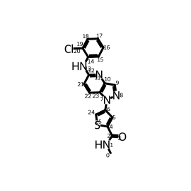 CNC(=O)c1cc(-n2ncc3nc(Nc4ccccc4Cl)ccc32)cs1